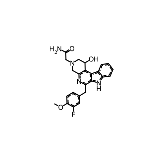 COc1ccc(Cc2nc3c(c4c2[nH]c2ccccc24)C(O)CN(CC(N)=O)C3)cc1F